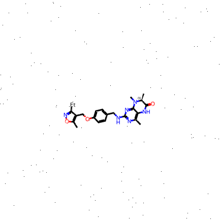 CCc1noc(C)c1COc1ccc(CNc2nc(C)c3c(n2)N(C)[C@@H](C)C(=O)N3)cc1